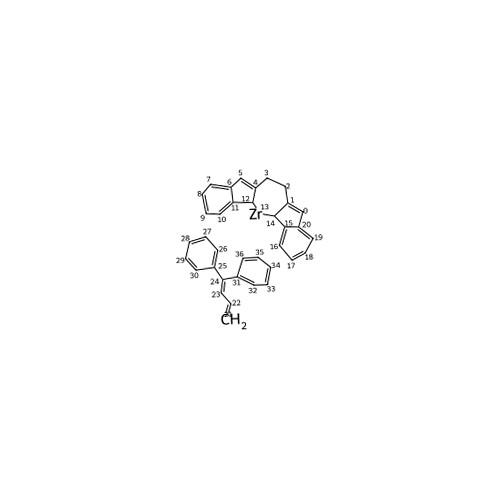 C1=C2CCC3=Cc4ccccc4[CH]3[Zr][CH]2c2ccccc21.C=CC=C(c1ccccc1)c1ccccc1